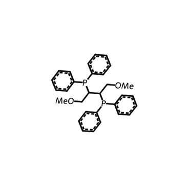 COCC(C(COC)P(c1ccccc1)c1ccccc1)P(c1ccccc1)c1ccccc1